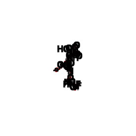 C#C[C@H]1CC(F)(F)CN1C(=O)CNC(=O)c1ccnc2ccc(OCCCCN3CCN(C(=O)CN4C(=O)CC(S[C@H](CCCCCNC(=O)CCCc5ccc(C)cc5)CNC(=O)CN5CCN(COC=O)CCN(COC=O)CCN(CC(=O)O)CC5)C4=O)CC3)cc12